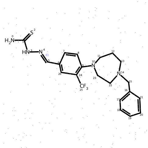 NC(=S)N/N=C/c1ccc(N2CCCN(Cc3ccccc3)CC2)c(C(F)(F)F)c1